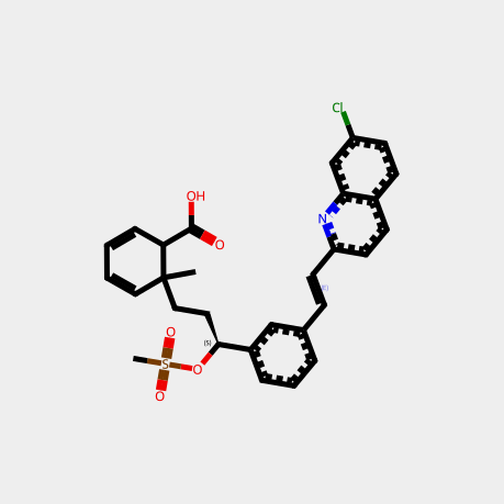 CC1(CC[C@H](OS(C)(=O)=O)c2cccc(/C=C/c3ccc4ccc(Cl)cc4n3)c2)C=CC=CC1C(=O)O